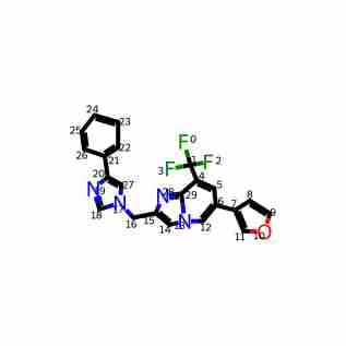 FC(F)(F)c1cc(-c2ccoc2)cn2cc(Cn3cnc(-c4ccccc4)c3)nc12